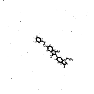 Cc1cn(CC(C)C)c2cc(C3C(=O)c4ccc(OCc5ccccc5)cc4C3=O)ccc12